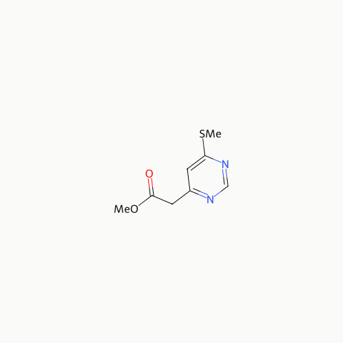 COC(=O)Cc1cc(SC)ncn1